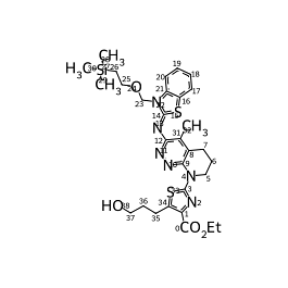 CCOC(=O)c1nc(N2CCCc3c2nnc(N=c2sc4ccccc4n2COCC[Si](C)(C)C)c3C)sc1CCCO